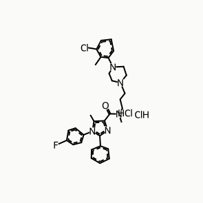 Cc1c(Cl)cccc1N1CCN(CCCN(C)C(=O)c2nc(-c3ccccc3)n(-c3ccc(F)cc3)c2C)CC1.Cl.Cl